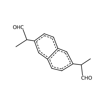 CC(C=O)c1ccc2cc(C(C)C=O)ccc2c1